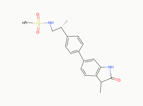 CCCS(=O)(=O)NC[C@H](C)c1ccc(-c2ccc3c(c2)NC(=O)C3C)cc1